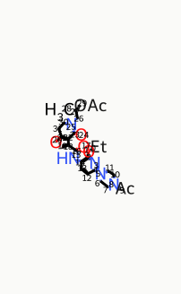 CCOc1nc(N2CCN(C(C)=O)CC2)ccc1NC(=O)c1coc2c1C(=O)N(CC(C)OC(C)=O)CC2